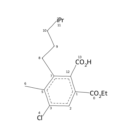 CCOC(=O)c1cc(Cl)c(C)c(CCCC(C)C)c1C(=O)O